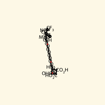 COc1ccccc1N(C)C(=O)c1cc(-c2cnc(C(F)(F)F)cc2C#N)c(Cl)cc1OCCCC(=O)NCCOCCOCCOCCOCCOCCOCCOCCOCCNC(=O)CN1CCN(CC=O)CCN(CC(=O)O)CCN(CC(=O)O)CC1